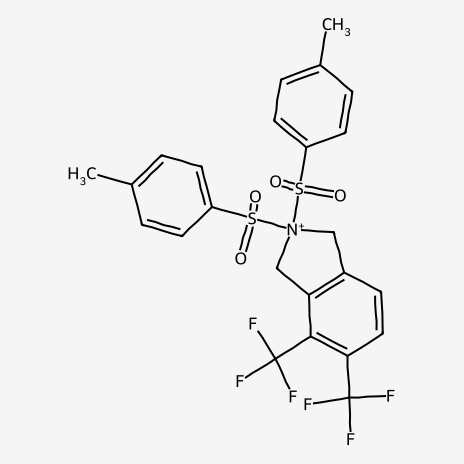 Cc1ccc(S(=O)(=O)[N+]2(S(=O)(=O)c3ccc(C)cc3)Cc3ccc(C(F)(F)F)c(C(F)(F)F)c3C2)cc1